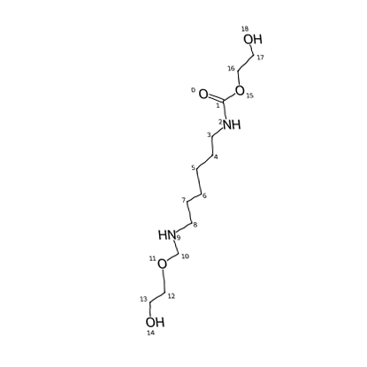 O=C(NCCCCCCNCOCCO)OCCO